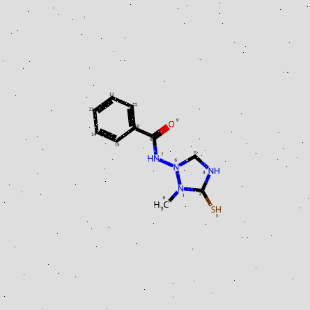 CN1C(S)NCN1NC(=O)c1ccccc1